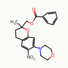 CC1(COC(=O)c2ccccc2)CCc2cc([N+](=O)[O-])c(N3CCOCC3)cc2O1